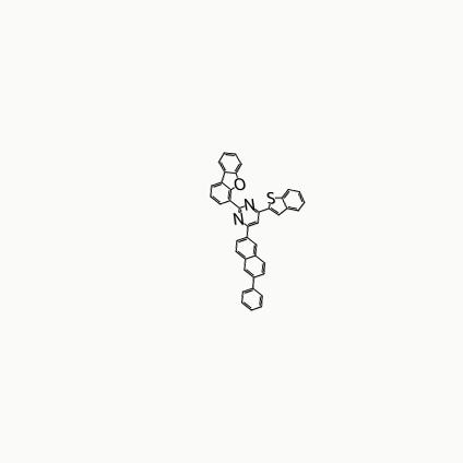 c1ccc(-c2ccc3cc(-c4cc(-c5cc6ccccc6s5)nc(-c5cccc6c5oc5ccccc56)n4)ccc3c2)cc1